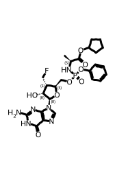 C[C@H](NP(=O)(OC[C@H]1O[C@@H](n2cnc3c(=O)[nH]c(N)nc32)[C@H](O)[C@@H]1CF)Oc1ccccc1)C(=O)OC1CCCC1